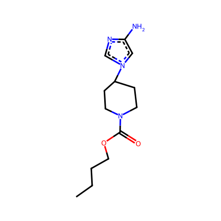 CCCCOC(=O)N1CCC(n2cnc(N)c2)CC1